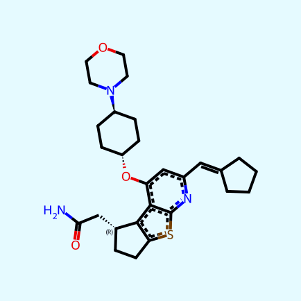 NC(=O)C[C@H]1CCc2sc3nc(C=C4CCCC4)cc(O[C@H]4CC[C@H](N5CCOCC5)CC4)c3c21